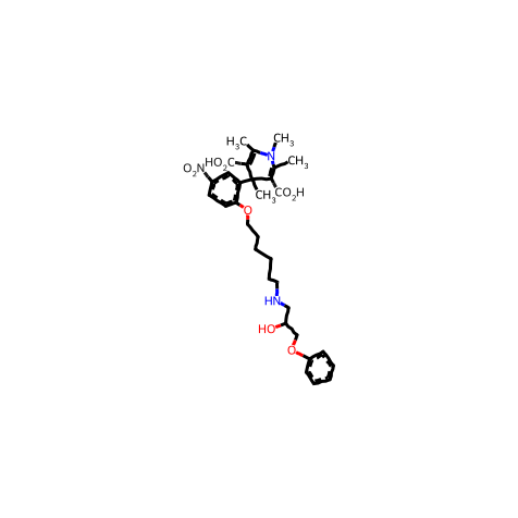 CC1=C(C(=O)O)C(C)(c2cc([N+](=O)[O-])ccc2OCCCCCCNCC(O)COc2ccccc2)C(C(=O)O)=C(C)N1C